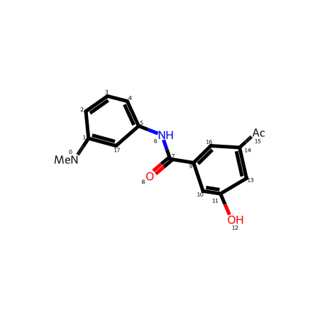 CNc1cccc(NC(=O)c2cc(O)cc(C(C)=O)c2)c1